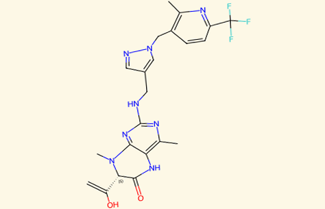 C=C(O)[C@H]1C(=O)Nc2c(C)nc(NCc3cnn(Cc4ccc(C(F)(F)F)nc4C)c3)nc2N1C